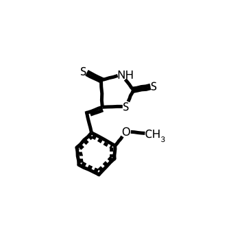 COc1ccccc1C=C1SC(=S)NC1=S